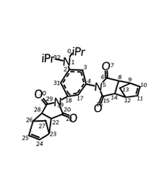 CC(C)N(c1cc(N2C(=O)C3C4C=CC(C4)C3C2=O)cc(N2C(=O)C3C4C=CC(C4)C3C2=O)c1)C(C)C